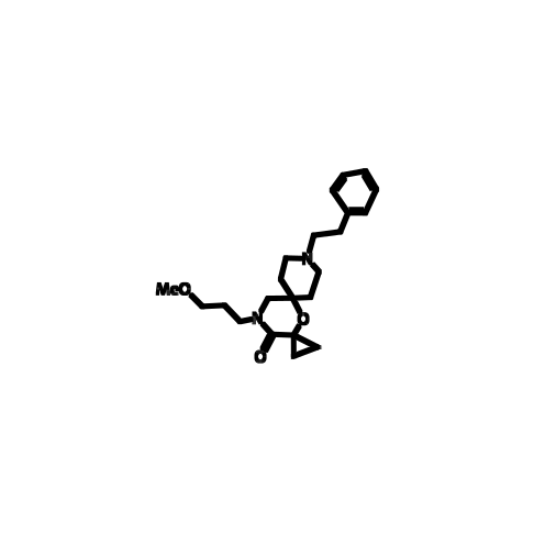 COCCCN1CC2(CCN(CCc3ccccc3)CC2)OC2(CC2)C1=O